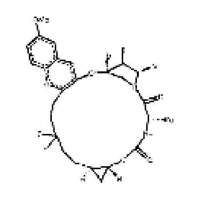 COc1ccc2nc3c(nc2c1)O[C@H]1CN(C(=O)[C@H](C(C)(C)C)NC(=O)O[C@@H]2C[C@H]2CCC(F)(F)CC3)[C@H](C(C)=O)[C@@H]1C